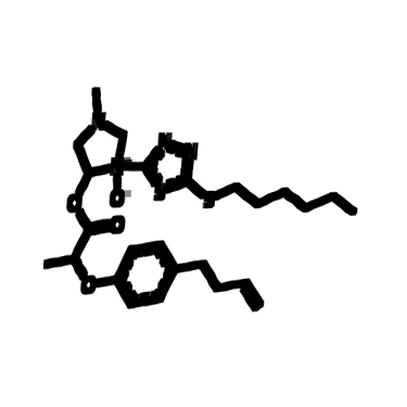 C=CCCc1ccc(OC(C)C(=O)OC2CN(C)C[N+]2([O-])c2nnc(SCCCCCC)s2)cc1